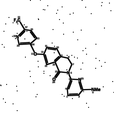 CNc1cccc(N2CCc3ccc(Oc4ccc(C(F)(F)F)nc4)cc3C2=O)n1